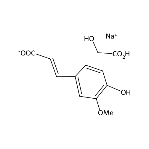 COc1cc(/C=C/C(=O)[O-])ccc1O.O=C(O)CO.[Na+]